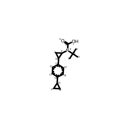 CC(C)(C)N(C(=O)O)C1CC1c1ccc(C2CC2)cc1